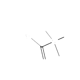 [CH2]CC(=C)[N+](C)(C)C